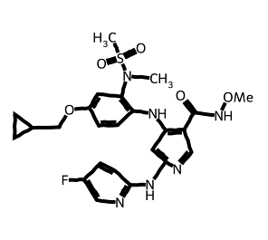 CONC(=O)c1cnc(Nc2ccc(F)cn2)cc1Nc1ccc(OCC2CC2)cc1N(C)S(C)(=O)=O